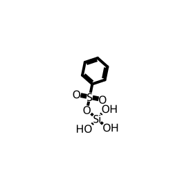 O=S(=O)(O[Si](O)(O)O)c1ccccc1